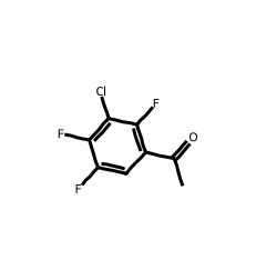 CC(=O)c1cc(F)c(F)c(Cl)c1F